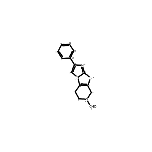 O=CN1CCc2c(sc3nc(-c4ccccc4)cn23)C1